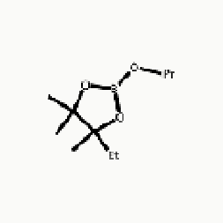 CCC1(C)OB(OC(C)C)OC1(C)C